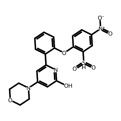 O=[N+]([O-])c1ccc(Oc2ccccc2-c2cc(N3CCOCC3)cc(O)n2)c([SH](=O)=O)c1